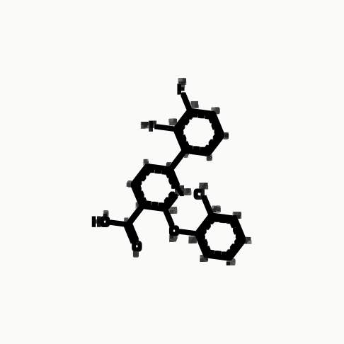 O=C(O)c1ccc(-c2cccc(F)c2F)nc1Oc1ccccc1Cl